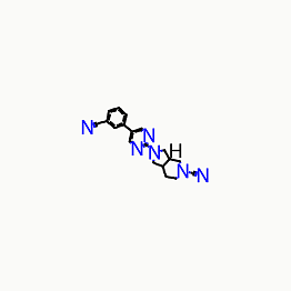 N#Cc1cccc(-c2cnc(N3CC4CCN(C#N)C[C@@H]4C3)nc2)c1